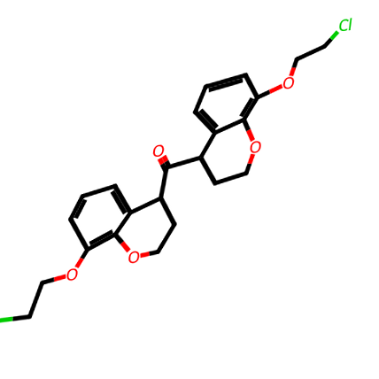 O=C(C1CCOc2c(OCCCl)cccc21)C1CCOc2c(OCCCl)cccc21